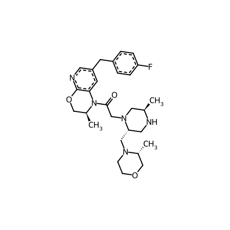 C[C@@H]1CN(CC(=O)N2c3cc(Cc4ccc(F)cc4)cnc3OC[C@@H]2C)[C@@H](CN2CCOC[C@H]2C)CN1